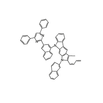 C=C/C=C\c1c(C)c2cc3c4ccccc4n(-c4cc(-c5nc(-c6ccccc6)cc(-c6ccccc6)n5)cc5ccccc45)c3cc2n1-c1ccc2ccccc2c1